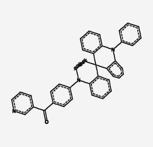 O=C(c1ccc(N2c3ccccc3C3(c4ccccc4N(c4ccccc4)c4ccccc43)c3ccccc32)cc1)c1cccnc1